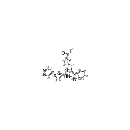 C=CC(=O)N1CC[C@]2(C1)C[C@H](n1c(NC(=O)c3ccc(-c4ccnnc4)s3)nc3ccccc31)C2